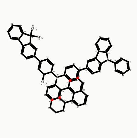 CC1C=C(c2ccc3c(c2)C(C)(C)c2ccccc2-3)C=CC1N(c1ccc(-c2ccc3c(c2)c2ccccc2n3-c2ccccc2)cc1)c1ccccc1-c1cccc2cccc(C3CCCCC3)c12